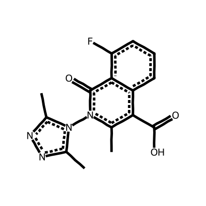 Cc1nnc(C)n1-n1c(C)c(C(=O)O)c2cccc(F)c2c1=O